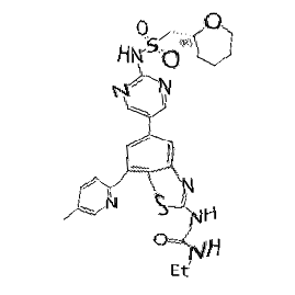 CCNC(=O)Nc1nc2cc(-c3cnc(NS(=O)(=O)C[C@H]4CCCCO4)nc3)cc(-c3ccc(C)cn3)c2s1